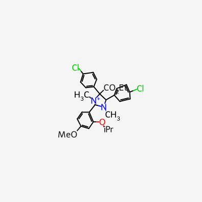 CCOC(=O)C1(c2ccc(Cl)cc2)C(c2ccc(Cl)cc2)N(C)C(c2ccc(OC)cc2OC(C)C)=[N+]1C